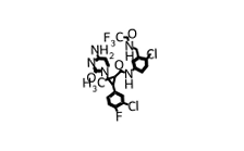 CC1(n2ccc(N)nc2=O)C(C(=O)Nc2ccc(Cl)c(CNC(=O)C(F)(F)F)c2)C1c1ccc(F)c(Cl)c1